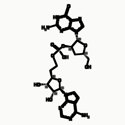 Nc1nc2c(ncn2[C@@H]2O[C@H](CO)C[C@H]2OP(=O)(O)OCC[C@H]2O[C@@H](n3ccc4c(N)ncnc43)[C@H](O)[C@@H]2O)c(=O)[nH]1